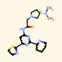 CN(C)[C@H]1CCN(CC(=O)Nc2cc(-c3nccs3)nc(-c3ccccn3)n2)C1